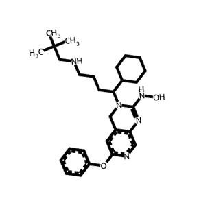 CC(C)(C)CNCCCC(C1CCCCC1)N1Cc2cc(Oc3ccccc3)ncc2N=C1NO